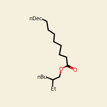 CCCCCCCCCCCCCCCCCC(=O)OCC(CC)CCCC